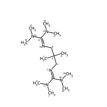 CN(C)C(=NCC(C)(C)CN=C(N(C)C)N(C)C)N(C)C